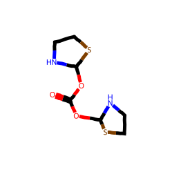 O=C(OC1NCCS1)OC1NCCS1